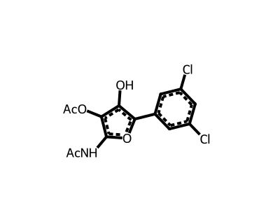 CC(=O)Nc1oc(-c2cc(Cl)cc(Cl)c2)c(O)c1OC(C)=O